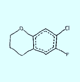 Fc1cc2c(cc1Cl)OCCC2